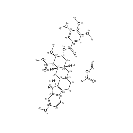 C=COC(C)=O.COC(=O)[C@H]1[C@H]2C[C@@H]3c4[nH]c5cc(OC)ccc5c4CCN3C[C@H]2C[C@@H](OC(=O)c2cc(OC)c(OC)c(OC)c2)[C@@H]1OC